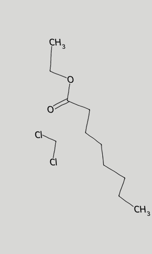 CCCCCCCC(=O)OCC.ClCCl